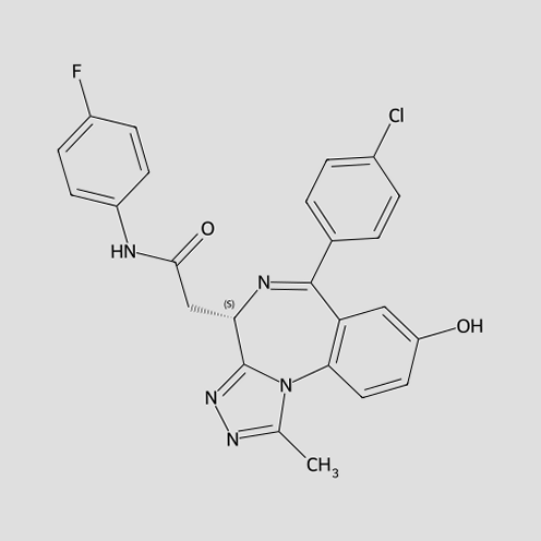 Cc1nnc2n1-c1ccc(O)cc1C(c1ccc(Cl)cc1)=N[C@H]2CC(=O)Nc1ccc(F)cc1